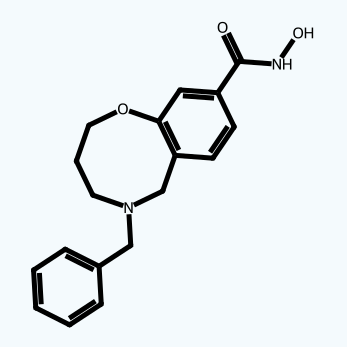 O=C(NO)c1ccc2c(c1)OCCCN(Cc1ccccc1)C2